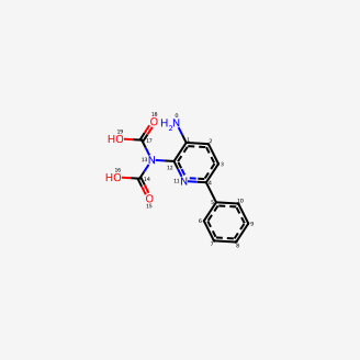 Nc1ccc(-c2ccccc2)nc1N(C(=O)O)C(=O)O